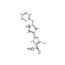 Cc1cc(-c2n[nH]c(Cc3ccccc3)n2)sc1C(=O)O